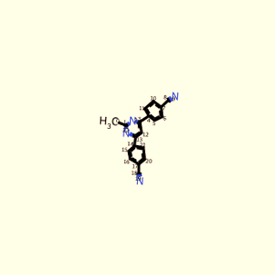 Cc1nc(-c2ccc(C#N)cc2)cc(-c2ccc(C#N)cc2)n1